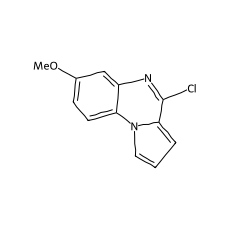 COc1ccc2c(c1)nc(Cl)c1cccn12